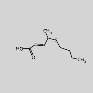 CCCCSC(C)C=CC(=O)O